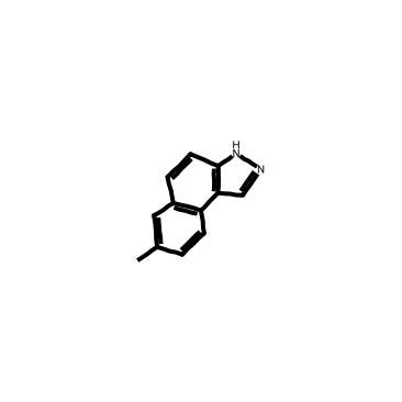 Cc1ccc2c(ccc3[nH]ncc32)c1